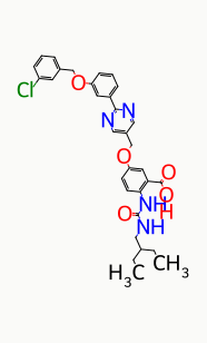 CCC(CC)CNC(=O)Nc1ccc(OCc2cnc(-c3cccc(OCc4cccc(Cl)c4)c3)nc2)cc1C(=O)O